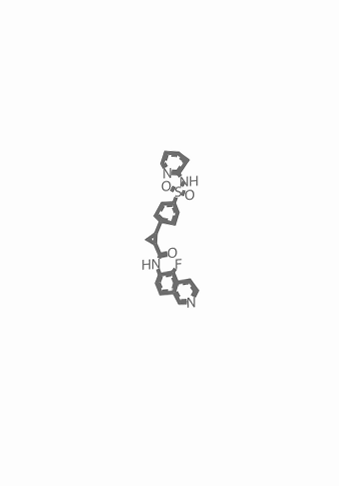 O=C(Nc1ccc2cnccc2c1F)C1CC1c1ccc(S(=O)(=O)Nc2ccccn2)cc1